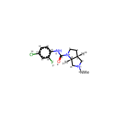 CNN1C[C@H]2CCN(C(=O)Nc3ccc(Cl)cc3F)[C@H]2C1